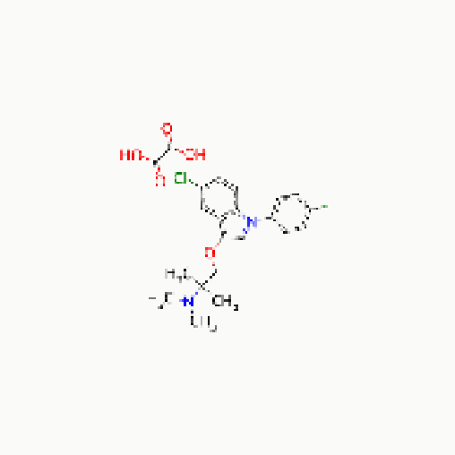 CN(C)C(C)(C)COc1cn(-c2ccc(F)cc2)c2ccc(Cl)cc12.O=C(O)C(=O)O